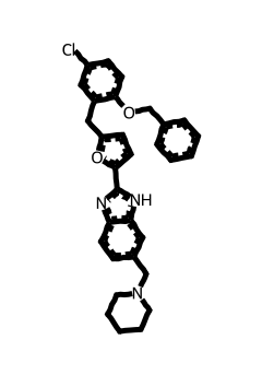 Clc1ccc(OCc2ccccc2)c(Cc2ccc(-c3nc4ccc(CN5CCCCC5)cc4[nH]3)o2)c1